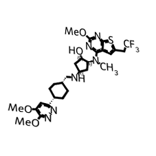 COc1nc(N(C)[C@H]2C[C@@H](NC[C@H]3CC[C@@H](c4cc(OC)c(OC)nn4)CC3)C[C@H]2O)c2cc(CC(F)(F)F)sc2n1